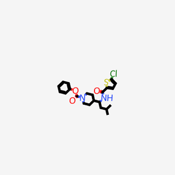 CC(C)CC(NC(=O)c1ccc(Cl)s1)C1CCN(C(=O)Oc2ccccc2)CC1